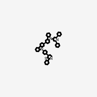 c1ccc(-c2cc(-n3c4ccccc4c4cc(-c5ccc6c7ccccc7n(-c7ccc(-c8ccnc9c8sc8ccccc89)cc7)c6c5)ccc43)cc(-c3ccccc3)n2)cc1